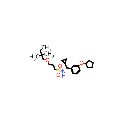 CCC(C)(C)COCCCS(=O)(=O)N[C@@H](c1cccc(OC2CCCC2)c1)C1CC1